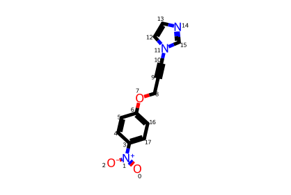 O=[N+]([O-])c1ccc(OCC#Cn2ccnc2)cc1